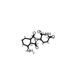 NC1CCCC2C(=O)N(C3CCC(=O)NC3=O)C(=O)C12